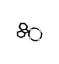 C1CCC(C2(C3CCCCC3)COCCOCCOCCO2)CC1